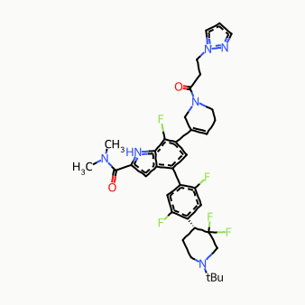 CN(C)C(=O)c1cc2c(-c3cc(F)c([C@H]4CCN(C(C)(C)C)CC4(F)F)cc3F)cc(C3=CCCN(C(=O)CCn4cccn4)C3)c(F)c2[nH]1